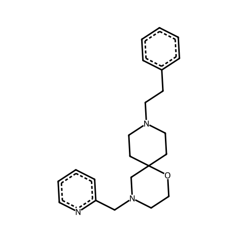 c1ccc(CCN2CCC3(CC2)CN(Cc2ccccn2)CCO3)cc1